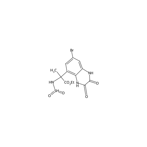 CCOC(=O)C(C)(N[SH](=O)=O)c1cc(Br)cc2[nH]c(=O)c(=O)[nH]c12